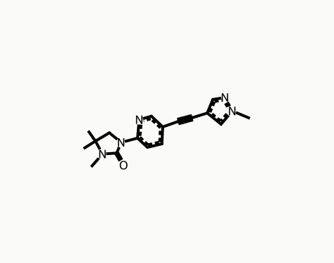 CN1C(=O)N(c2ccc(C#Cc3cnn(C)c3)cn2)CC1(C)C